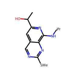 CSc1ncc2cc(C(C)O)nc(NC(C)C)c2n1